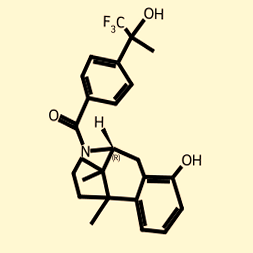 CC(O)(c1ccc(C(=O)N2CCC3(C)c4cccc(O)c4C[C@@H]2C3(C)C)cc1)C(F)(F)F